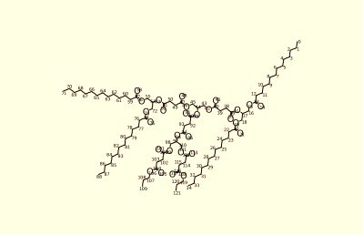 CCCCCCCCCCCCCC(=O)OCC(COC(=O)CCCCCCCCCCCCC)OC(=O)CCC(=O)OCC(COC(=O)CCC(=O)OC(COC(=O)CCCCCCCCCCCCC)COC(=O)CCCCCCCCCCCCC)OC(=O)CCC(=O)OC(COC(=O)CCC(=O)OCCC)COC(=O)CCC(=O)OCCC